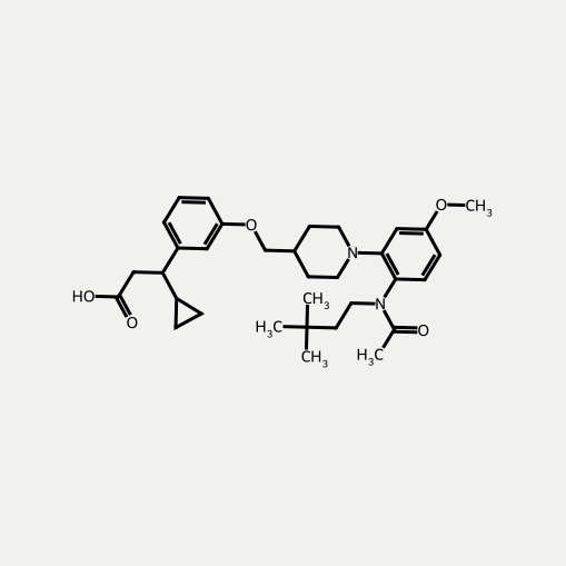 COc1ccc(N(CCC(C)(C)C)C(C)=O)c(N2CCC(COc3cccc(C(CC(=O)O)C4CC4)c3)CC2)c1